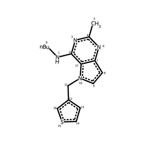 CCCCNc1nc(C)nc2ccn(Cc3ccsc3)c12